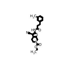 CCOC(=O)N1CCc2c(sc(NC(=O)CCc3cccc(C)c3)c2C#N)C1